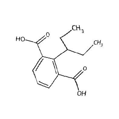 CCC(CC)c1c(C(=O)O)cccc1C(=O)O